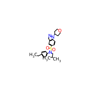 CCc1ccc(N(CC(C)C)S(=O)(=O)c2ccc3c(cnn3C3CCOCC3)c2)cc1